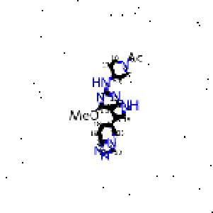 COc1nc(NC2CCN(C(C)=O)CC2)nc2[nH]cc(-c3ccc4nncn4c3)c12